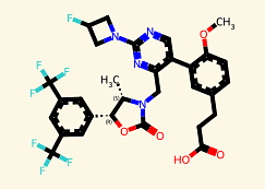 COc1ccc(CCC(=O)O)cc1-c1cnc(N2CC(F)C2)nc1CN1C(=O)O[C@H](c2cc(C(F)(F)F)cc(C(F)(F)F)c2)[C@@H]1C